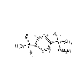 CCOC(=O)C(C)(C)c1ncc(C(C)(F)F)cn1